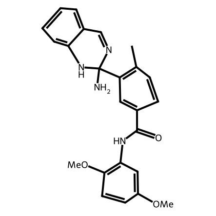 COc1ccc(OC)c(NC(=O)c2ccc(C)c(C3(N)N=Cc4ccccc4N3)c2)c1